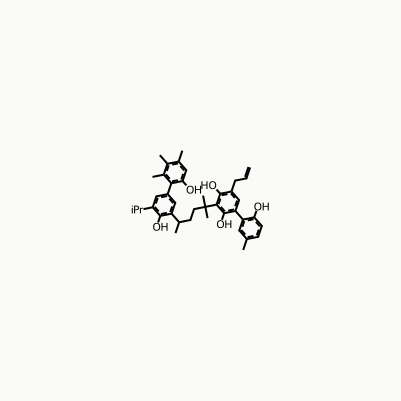 C=CCc1cc(-c2cc(C)ccc2O)c(O)c(C(C)(C)CCC(C)c2cc(-c3c(O)cc(C)c(C)c3C)cc(C(C)C)c2O)c1O